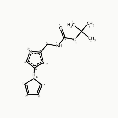 CC(C)(C)OC(=O)NCc1ncc([SH]2C=CC=C2)s1